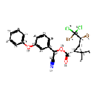 CC1(C)[C@@H]([C@H](Br)C(Cl)(Cl)Br)[C@H]1C(=O)OC(C#N)c1cccc(Oc2ccccc2)c1